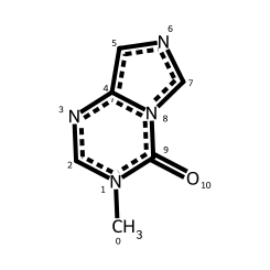 Cn1cnc2cncn2c1=O